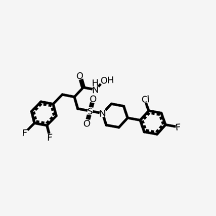 O=C(NO)C(Cc1ccc(F)c(F)c1)CS(=O)(=O)N1CCC(c2ccc(F)cc2Cl)CC1